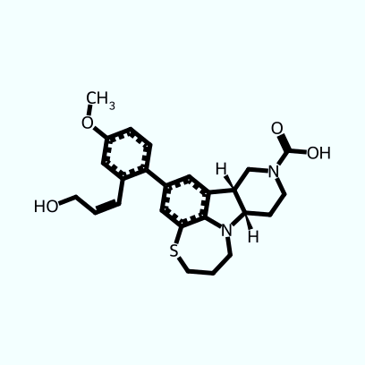 COc1ccc(-c2cc3c4c(c2)[C@@H]2CN(C(=O)O)CC[C@@H]2N4CCCS3)c(/C=C\CO)c1